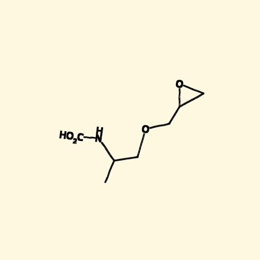 CC(COCC1CO1)NC(=O)O